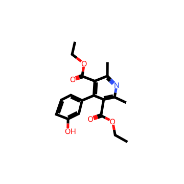 CCOC(=O)c1c(C)nc(C)c(C(=O)OCC)c1-c1cccc(O)c1